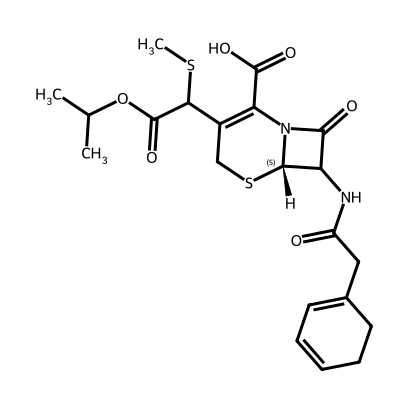 CSC(C(=O)OC(C)C)C1=C(C(=O)O)N2C(=O)C(NC(=O)CC3=CC=CCC3)[C@@H]2SC1